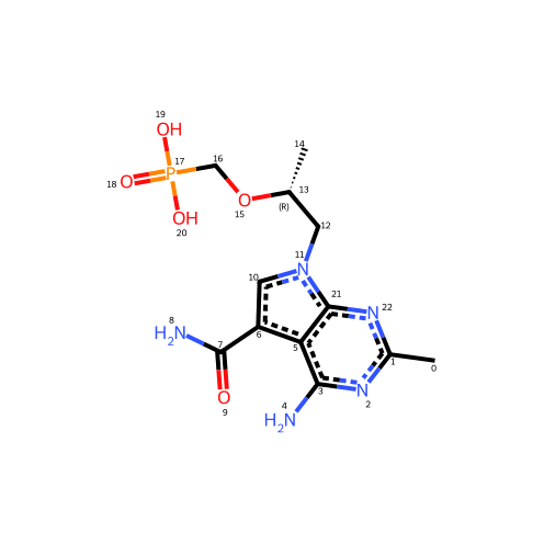 Cc1nc(N)c2c(C(N)=O)cn(C[C@@H](C)OCP(=O)(O)O)c2n1